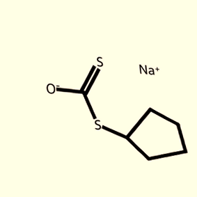 [Na+].[O-]C(=S)SC1CCCC1